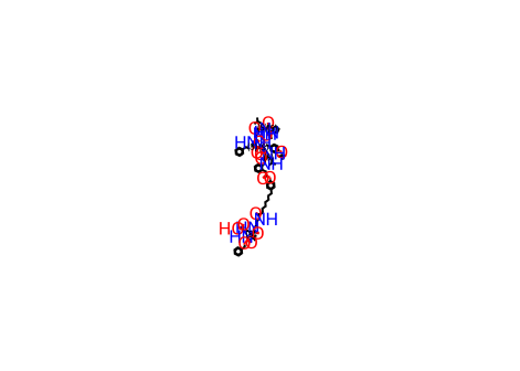 CC(=O)N1CCC[C@H]1C(=O)N[C@@H](CC(C)C)C(=O)NCC(=O)N[C@@H](CCc1ccccc1)C(=O)N[C@@H](Cc1ccc(OC(C)(C)C)cc1)C(=O)N[C@@H](CC(C)C)C(=O)Nc1ccccc1CC(=O)Oc1ccc(CCCCCCCC(=O)NCCNC(=O)[C@@](CCC(=O)O)(NC(=O)OCc2ccccc2)C(C)(C)C)cc1